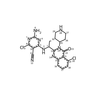 CC(Nc1nc(N)nc(Cl)c1C#N)c1nc2cccc(Cl)c2c(=O)n1C1CCNCC1